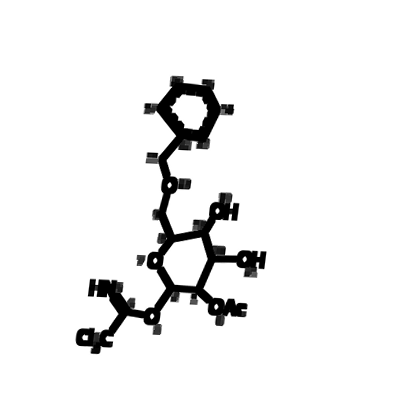 CC(=O)OC1C(OC(=N)C(Cl)(Cl)Cl)OC(COCc2ccccc2)C(O)C1O